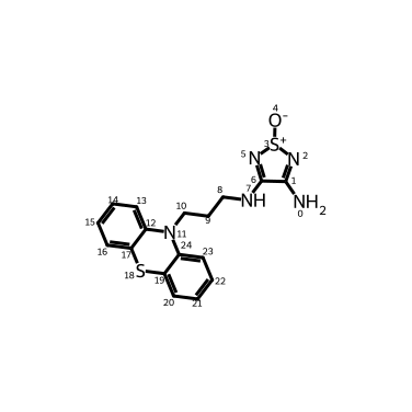 Nc1n[s+]([O-])nc1NCCCN1c2ccccc2Sc2ccccc21